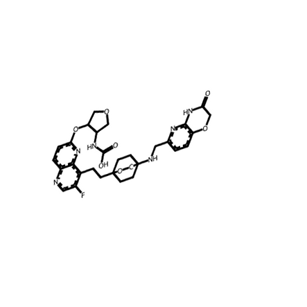 O=C(O)NC1COCC1Oc1ccc2ncc(F)c(CCC34CCC(NCc5ccc6c(n5)NC(=O)CO6)(CC3)CO4)c2n1